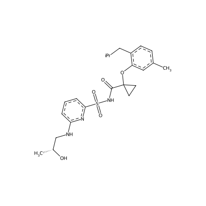 Cc1ccc(CC(C)C)c(OC2(C(=O)NS(=O)(=O)c3cccc(NC[C@@H](C)O)n3)CC2)c1